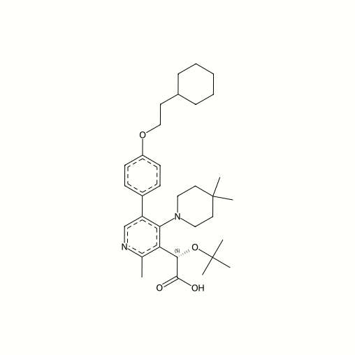 Cc1ncc(-c2ccc(OCCC3CCCCC3)cc2)c(N2CCC(C)(C)CC2)c1[C@H](OC(C)(C)C)C(=O)O